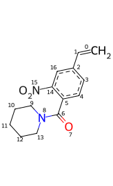 C=Cc1ccc(C(=O)N2CCCCC2)c([N+](=O)[O-])c1